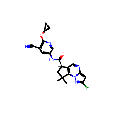 CC1(C)C[C@@H](C(=O)Nc2cnc(OC3CC3)c(C#N)c2)c2cnc3cc(F)nn3c21